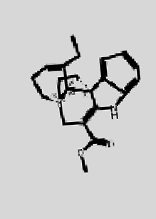 CCC1=CCC[N@+]23CC[C@]4(C(=C(C(=O)OC)C2)Nc2ccccc24)[C@H]13